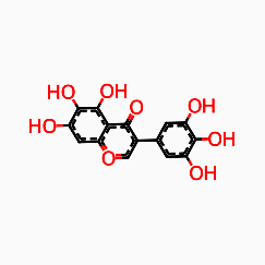 O=c1c(-c2cc(O)c(O)c(O)c2)coc2cc(O)c(O)c(O)c12